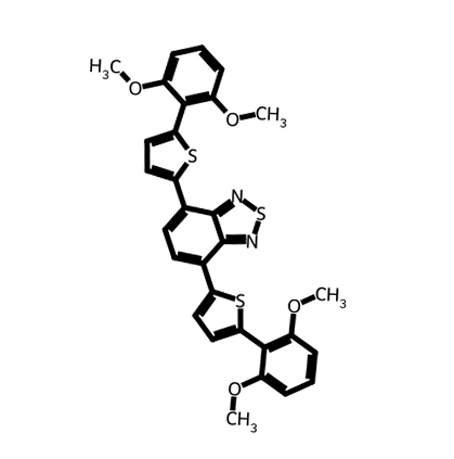 COc1cccc(OC)c1-c1ccc(-c2ccc(-c3ccc(-c4c(OC)cccc4OC)s3)c3nsnc23)s1